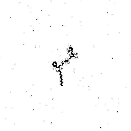 CCCCCCCCCC(=O)NC(COC(=O)NCC(=O)NC[C@H]1O[C@@H](n2ccc(=O)[nH]c2=O)[C@H](O)[C@@H]1O)C(O)c1ccccc1